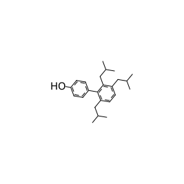 CC(C)Cc1ccc(CC(C)C)c(-c2ccc(O)cc2)c1CC(C)C